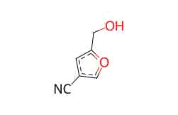 N#Cc1coc(CO)c1